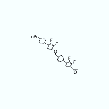 CCCC1CCC(c2ccc(OCc3ccc(-c4ccc(C5CO5)c(F)c4F)cc3)c(F)c2F)CC1